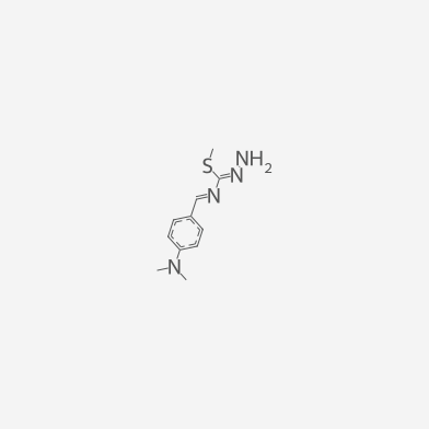 CSC(N=Cc1ccc(N(C)C)cc1)=NN